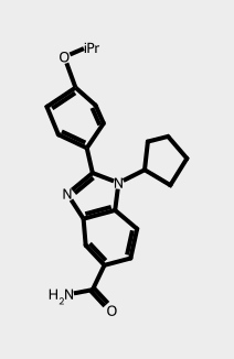 CC(C)Oc1ccc(-c2nc3cc(C(N)=O)ccc3n2C2CCCC2)cc1